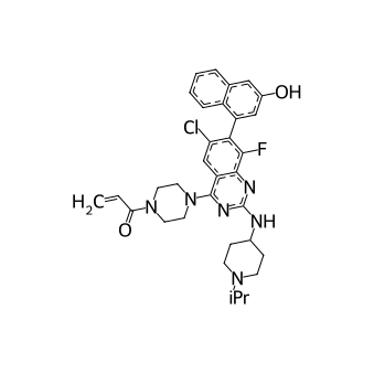 C=CC(=O)N1CCN(c2nc(NC3CCN(C(C)C)CC3)nc3c(F)c(-c4cc(O)cc5ccccc45)c(Cl)cc23)CC1